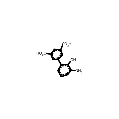 Nc1cccc(-c2cc(C(=O)O)cc(C(=O)O)c2)c1O